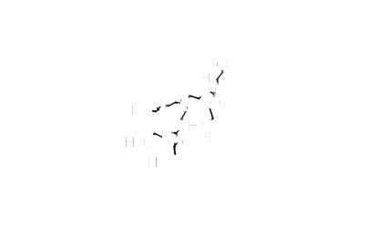 CCCOC(OCCC)PCCN(CCOCC)CCPC(OCCC)OCCC